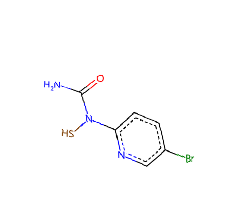 NC(=O)N(S)c1ccc(Br)cn1